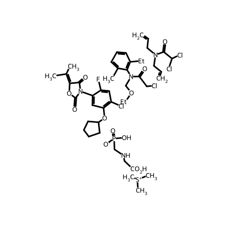 C=CCN(CC=C)C(=O)C(Cl)Cl.CC(C)=C1OC(=O)N(c2cc(OC3CCCC3)c(Cl)cc2F)C1=O.CCOCN(C(=O)CCl)c1c(C)cccc1CC.C[S+](C)C.O=C(O)CNCP(=O)([O-])O